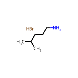 Br.CC(C)CCCN